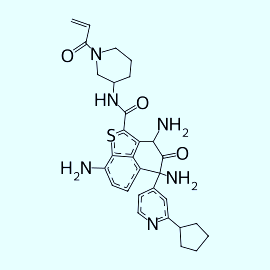 C=CC(=O)N1CCCC(NC(=O)c2sc3c(N)ccc4c3c2C(N)C(=O)C4(N)c2ccnc(C3CCCC3)c2)C1